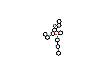 c1ccc(-c2ccc(-c3ccc(N(c4cccc(-c5cccc6ccccc56)c4)c4ccccc4-c4cccc5oc6c7ccccc7ccc6c45)cc3)cc2)cc1